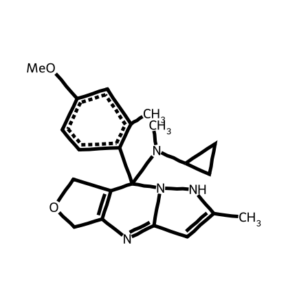 COc1ccc(C2(N(C)C3CC3)C3=C(COC3)N=C3C=C(C)NN32)c(C)c1